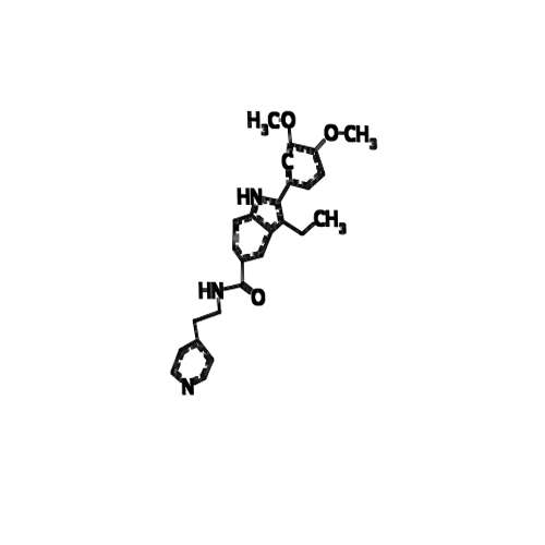 CCc1c(-c2ccc(OC)c(OC)c2)[nH]c2ccc(C(=O)NCCc3ccncc3)cc12